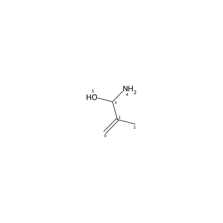 C=C(C)C(N)O